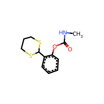 CNC(=O)Oc1ccccc1C1SCCCS1